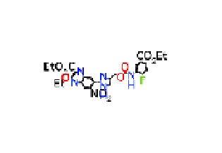 CCOC(=O)c1ccc(F)c(NC(=O)OCc2c[nH]c(-c3cc4nc(C(=O)OCC)c(OCC)nc4cc3[N+](=O)[O-])n2)c1